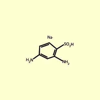 Nc1ccc(S(=O)(=O)O)c(N)c1.[Na]